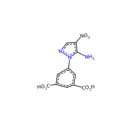 Nc1c([N+](=O)[O-])cnn1-c1cc(C(=O)O)cc(C(=O)O)c1